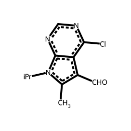 Cc1c(C=O)c2c(Cl)ncnc2n1C(C)C